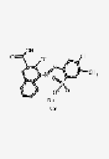 Cc1cc(S(=O)(=O)[O-])c(/N=N/c2c([O-])c(C(=O)O)cc3ccccc23)cc1Cl.[Na+].[Na+]